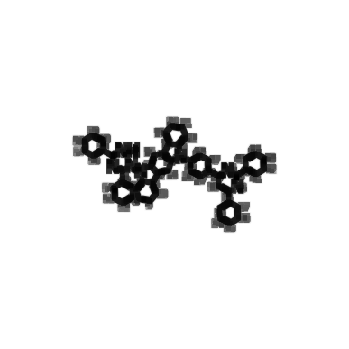 N=C(/N=C(\Nn1c2ccccc2c2cc3c(cc21)c1ccccc1n3-c1ccc(-c2cc(-c3ccccc3)nc(-c3ccccc3)n2)cc1)c1ccccc1)c1ccccc1